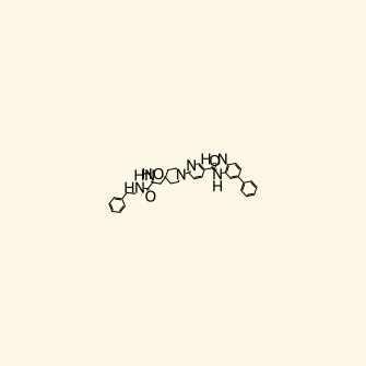 N=C(CC1(O)CCN(c2ccc(C(=O)Nc3cc(-c4ccccc4)ccc3N)cn2)CC1)C(=O)NCCc1ccccc1